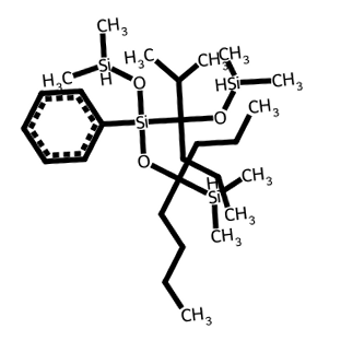 CCCCC(CCC)(O[Si](O[SiH](C)C)(c1ccccc1)C(CCC)(O[SiH](C)C)C(C)C)[SiH](C)C